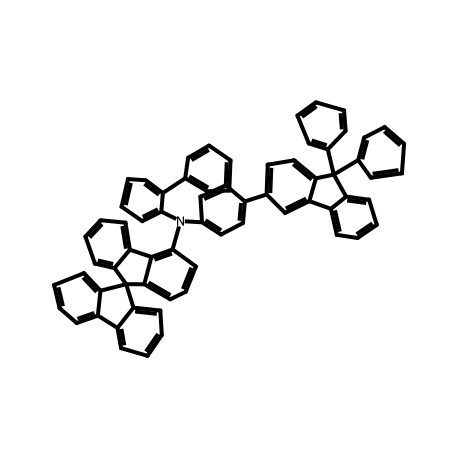 c1ccc(-c2ccccc2N(c2ccc(-c3ccc4c(c3)-c3ccccc3C4(c3ccccc3)c3ccccc3)cc2)c2cccc3c2-c2ccccc2C32c3ccccc3-c3ccccc32)cc1